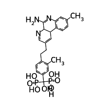 Cc1ccc2c(c1)N=C(N)C1N=CC(CCc3ccc(C(O)(P(=O)(O)O)P(=O)(O)O)cc3C)=CC21